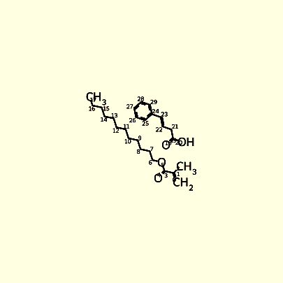 C=C(C)C(=O)OCCCCCCCCCCCC.O=C(O)CC=Cc1ccccc1